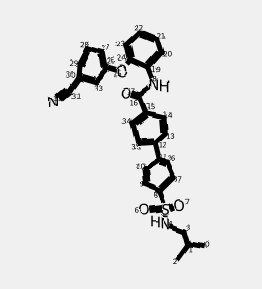 CC(C)CNS(=O)(=O)c1ccc(-c2ccc(C(=O)Nc3ccccc3Oc3cccc(C#N)c3)cc2)cc1